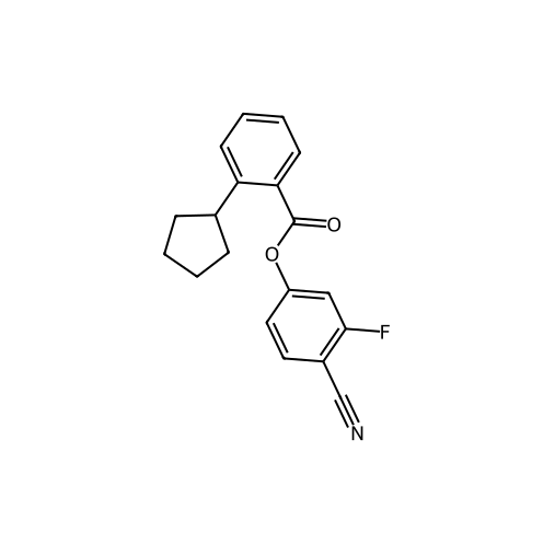 N#Cc1ccc(OC(=O)c2ccccc2C2CCCC2)cc1F